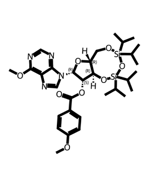 COc1ccc(C(=O)O[C@H]2[C@@H]3O[Si](C(C)C)(C(C)C)O[Si](C(C)C)(C(C)C)OC[C@H]3O[C@H]2n2cnc3c(OC)ncnc32)cc1